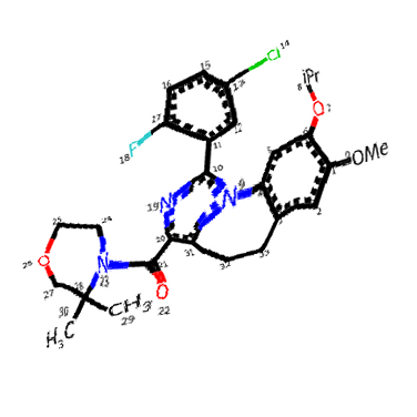 COc1cc2c(cc1OC(C)C)-n1c(-c3cc(Cl)ccc3F)nc(C(=O)N3CCOCC3(C)C)c1CC2